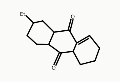 CCC1CCC2C(=O)C3CCCC=C3C(=O)C2C1